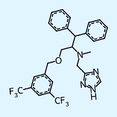 CN(Cc1nc[nH]n1)C(COCc1cc(C(F)(F)F)cc(C(F)(F)F)c1)C(c1ccccc1)c1ccccc1